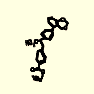 CC(C)(C)OC(=O)c1ccc(CC(C(=O)O)c2ccc(-c3cccc4c3COCO4)cc2)cc1